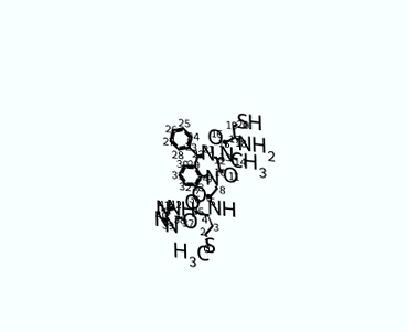 CSCC[C@H](NC(=O)CN1C(=O)C(N(C)C(=O)C(N)CS)N=C(c2ccccc2)c2ccccc21)C(=O)Oc1nnn[nH]1